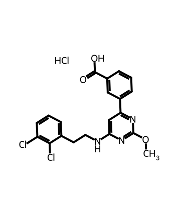 COc1nc(NCCc2cccc(Cl)c2Cl)cc(-c2cccc(C(=O)O)c2)n1.Cl